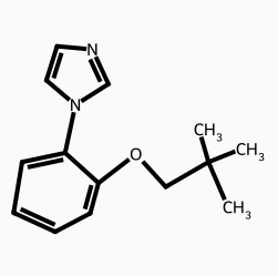 CC(C)(C)COc1ccccc1-n1ccnc1